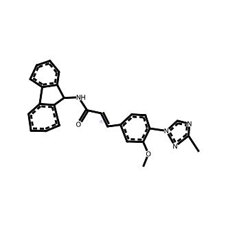 COc1cc(/C=C/C(=O)NC2c3ccccc3-c3ccccc32)ccc1-n1cnc(C)n1